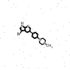 CN1CCN(c2ccc(-c3cnc4[nH]cc(Br)c4c3)cc2)CC1